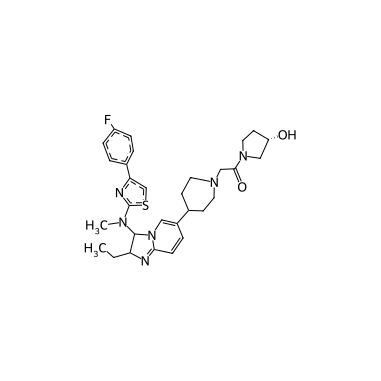 CCC1N=C2C=CC(C3CCN(CC(=O)N4CC[C@H](O)C4)CC3)=CN2C1N(C)c1nc(-c2ccc(F)cc2)cs1